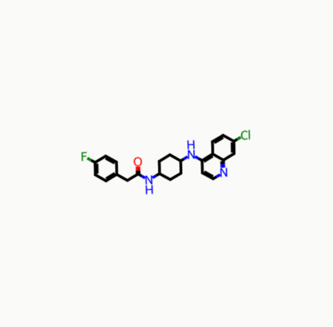 O=C(Cc1ccc(F)cc1)NC1CCC(Nc2ccnc3cc(Cl)ccc23)CC1